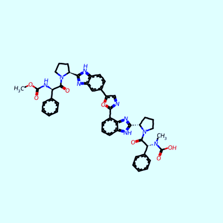 COC(=O)N[C@@H](C(=O)N1CCC[C@H]1c1nc2cc(-c3cnc(-c4cccc5[nH]c([C@@H]6CCCN6C(=O)[C@@H](c6ccccc6)N(C)C(=O)O)nc45)o3)ccc2[nH]1)c1ccccc1